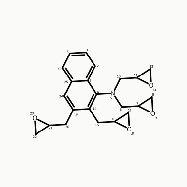 c1ccc2c(N(CC3CO3)CC3CO3)c(CC3CO3)c(CC3CO3)cc2c1